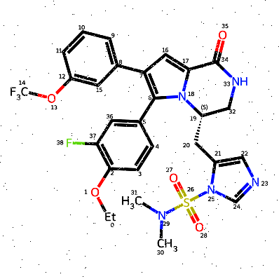 CCOc1ccc(-c2c(-c3cccc(OC(F)(F)F)c3)cc3n2[C@@H](Cc2cncn2S(=O)(=O)N(C)C)CNC3=O)cc1F